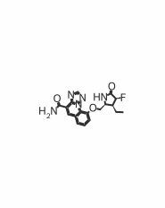 CC[C@@H]1[C@H](F)C(=O)N[C@@H]1COc1cccc2cc(C(N)=O)c3ncnn3c12